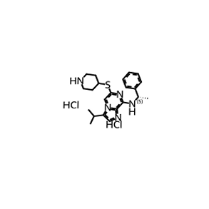 CC(C)c1cnc2c(N[C@@H](C)c3ccccc3)nc(SC3CCNCC3)cn12.Cl.Cl